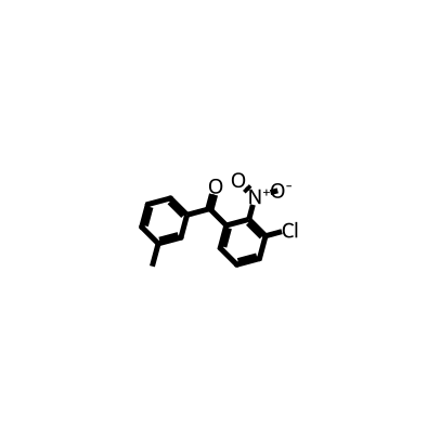 Cc1cccc(C(=O)c2cccc(Cl)c2[N+](=O)[O-])c1